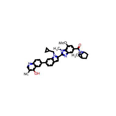 COc1cc(C(=O)N2CC3CCC2[C@@H]3C)cc2nc(-c3cc4ccc(-c5ccc6ncc(C#N)c(O)c6c5)cc4n3CC3CC3)n(C)c12